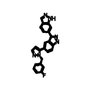 Fc1cccc(Cn2nccc2-c2ccc3c(c2)C(c2ccc4cn[nH]c4c2)N=N3)c1